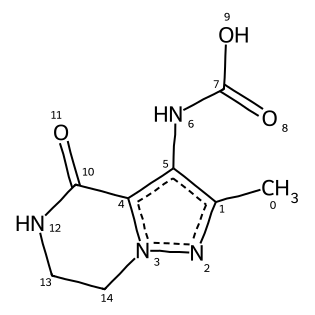 Cc1nn2c(c1NC(=O)O)C(=O)NCC2